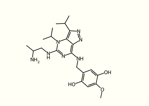 COc1cc(O)c(CNc2nc(NCC(C)N)n(C(C)C)c3c(C(C)C)nnc2-3)cc1O